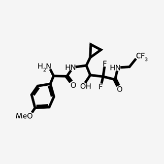 COc1ccc(C(N)C(=O)NC(C2CC2)C(O)C(F)(F)C(=O)NCC(F)(F)F)cc1